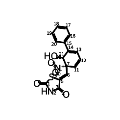 O=C1NC(=O)C(=CC2([N+](=O)[O-])C=CC=C(c3ccccc3)C2O)S1